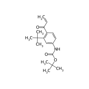 C=CC(=O)c1ccc(NC(=O)OC(C)(C)C)cc1C(C)(C)C